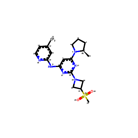 C[C@@H]1CCCN1c1cc(Nc2cc(C(F)(F)F)ccn2)nc(N2CC(S(C)(=O)=O)C2)n1